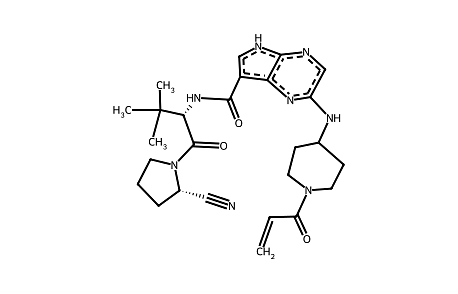 C=CC(=O)N1CCC(Nc2cnc3[nH]cc(C(=O)N[C@H](C(=O)N4CCC[C@H]4C#N)C(C)(C)C)c3n2)CC1